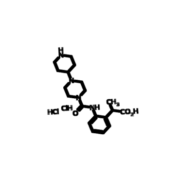 CC(C(=O)O)c1ccccc1NC(=O)N1CCN(C2CCNCC2)CC1.Cl.Cl